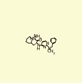 CN(Cc1ccccc1)c1nccc(N[C@@H](CC2CCCCC2)C(=O)NN)n1